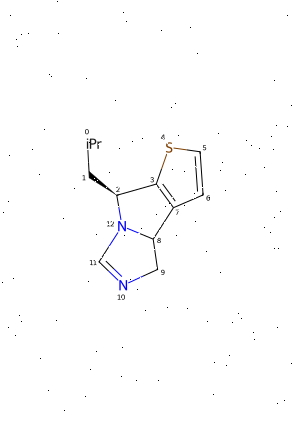 CC(C)C[C@H]1c2sccc2C2CN=CN21